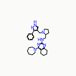 c1ccc(-c2n[nH]cc2CN2CCCC2CNc2nc3c(c(N4CCCCCC4)n2)CCCC3)cc1